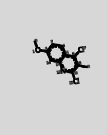 COc1ccc2c(Cl)c(C)c(Cl)nc2c1